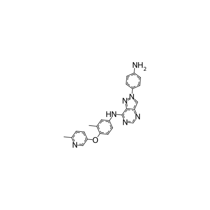 Cc1ccc(Oc2ccc(Nc3ncnc4cn(-c5ccc(N)cc5)nc34)cc2C)cn1